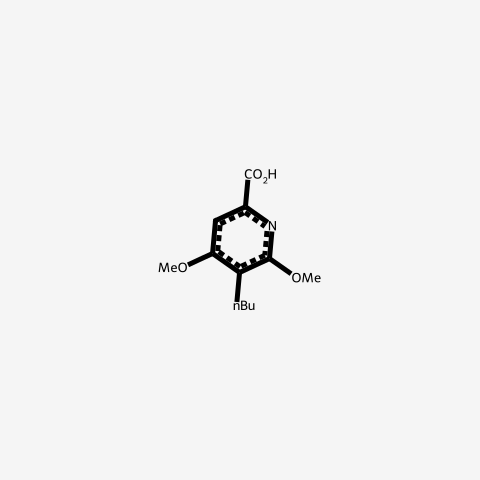 CCCCc1c(OC)cc(C(=O)O)nc1OC